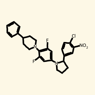 O=[N+]([O-])c1cc(C2CCCN2c2cc(F)c(N3CCC(c4ccccc4)CC3)c(F)c2)ccc1Cl